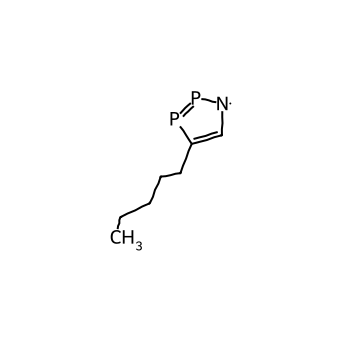 CCCCCC1=C[N]P=P1